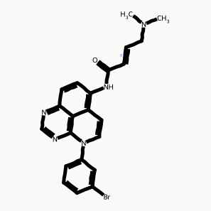 CN(C)C/C=C/C(=O)Nc1ccc2ncnc3c2c1C=CN3c1cccc(Br)c1